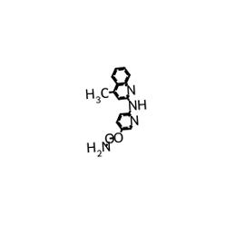 Cc1cc(Nc2ccc(OON)cn2)nc2ccccc12